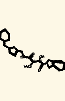 O=C(NCC1=CCC(CC2CCCCC2)S1)[C@H](O)[C@@H](O)C(=O)N1Cc2ccccc2C1